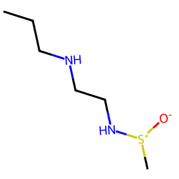 CCCNCCN[S+](C)[O-]